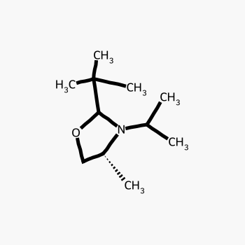 CC(C)N1C(C(C)(C)C)OC[C@H]1C